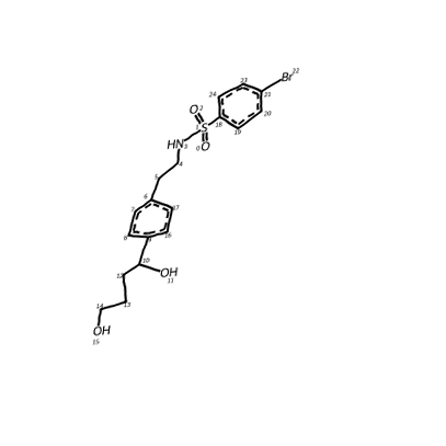 O=S(=O)(NCCc1ccc(C(O)CCCO)cc1)c1ccc(Br)cc1